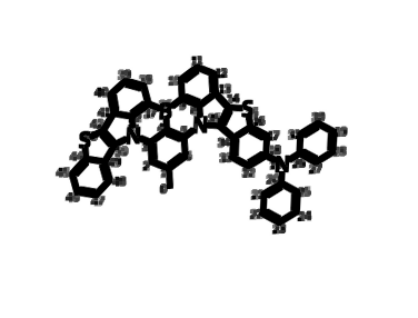 Cc1cc2c3c(c1)-n1c4c(cccc4c4sc5cc(N(c6ccccc6)c6ccccc6)ccc5c41)B3c1cccc3c4sc5ccccc5c4n-2c13